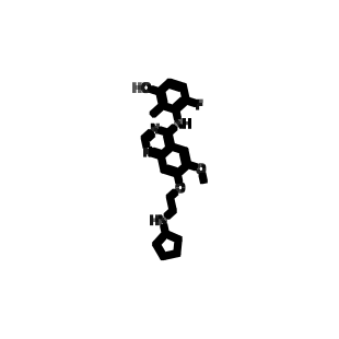 COc1cc2c(Nc3c(F)ccc(O)c3C)ncnc2cc1OCCNC1CCCC1